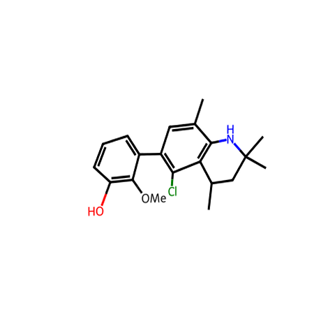 COc1c(O)cccc1-c1cc(C)c2c(c1Cl)C(C)CC(C)(C)N2